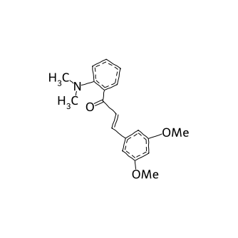 COc1cc(/C=C/C(=O)c2ccccc2N(C)C)cc(OC)c1